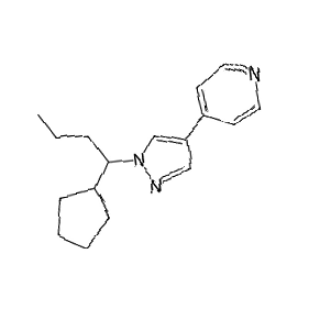 CCCC(C1CCCC1)n1cc(-c2ccncc2)cn1